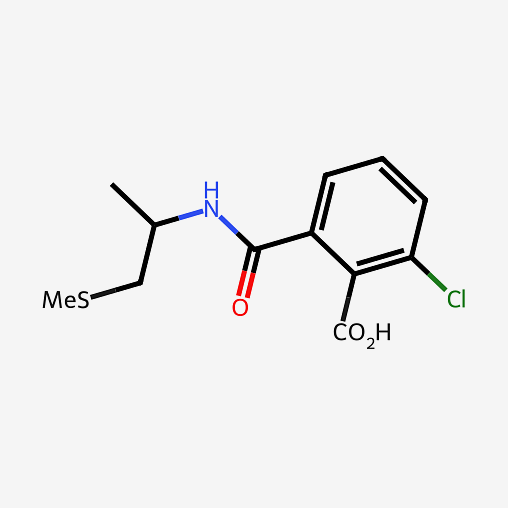 CSCC(C)NC(=O)c1cccc(Cl)c1C(=O)O